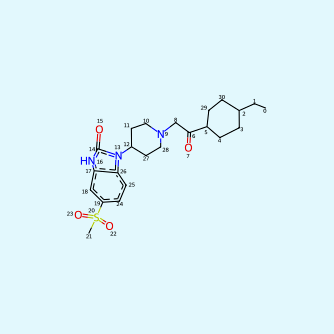 CCC1CCC(C(=O)CN2CCC(n3c(=O)[nH]c4cc(S(C)(=O)=O)ccc43)CC2)CC1